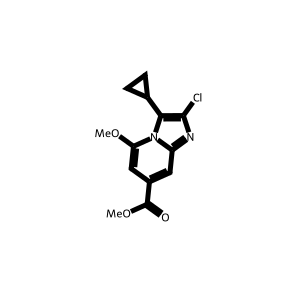 COC(=O)c1cc(OC)n2c(C3CC3)c(Cl)nc2c1